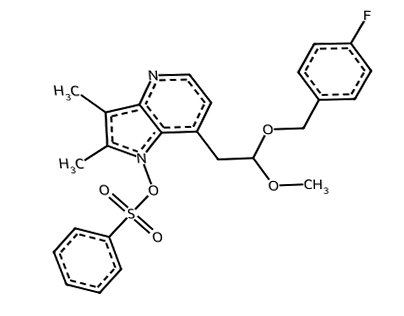 COC(Cc1ccnc2c(C)c(C)n(OS(=O)(=O)c3ccccc3)c12)OCc1ccc(F)cc1